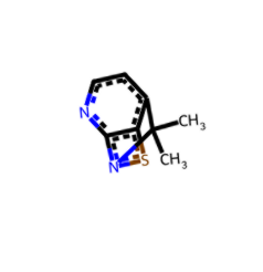 CC1(C)c2ccnc3c2sn31